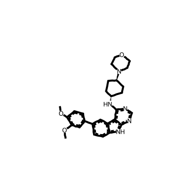 COc1ccc(-c2ccc3[nH]c4ncnc(N[C@H]5CC[C@H](N6CCOCC6)CC5)c4c3c2)cc1OC